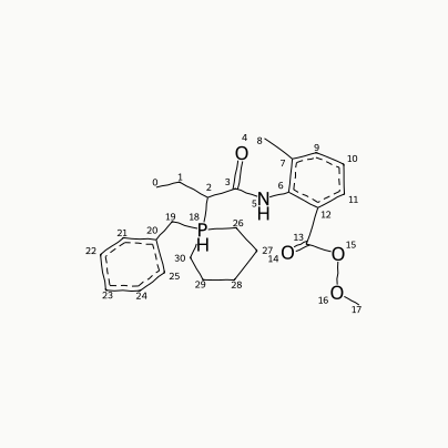 CCC(C(=O)Nc1c(C)cccc1C(=O)OOC)[PH]1(Cc2ccccc2)CCCCC1